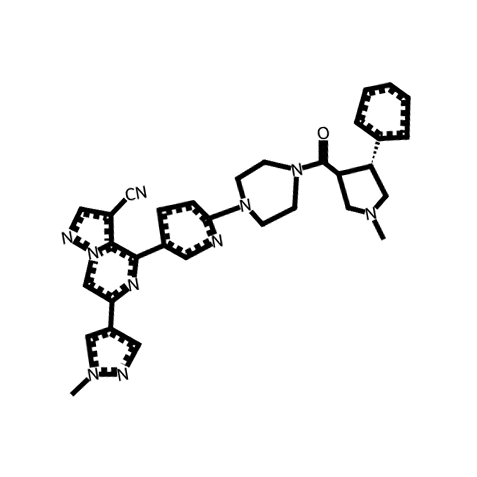 CN1CC(C(=O)N2CCN(c3ccc(-c4nc(-c5cnn(C)c5)cn5ncc(C#N)c45)cn3)CC2)[C@H](c2ccccc2)C1